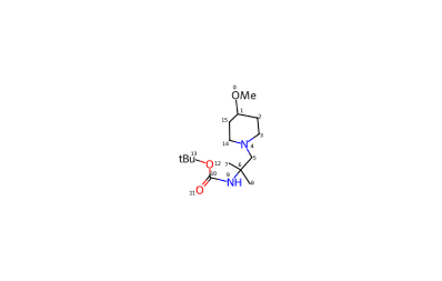 COC1CCN(CC(C)(C)NC(=O)OC(C)(C)C)CC1